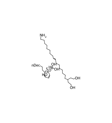 CCCCCCCCCCCCC12C=CC=CC1(O)S2.NCCCCCCCCC=CCCCCCCCC(CCO)CCO.OB(O)O